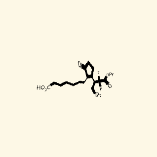 CCCC(=O)C(F)(F)C(CC(C)C)[C@@H]1CCC(=O)[C@@H]1CCCCCCC(=O)O